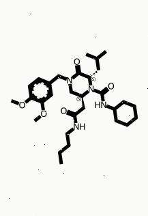 CCCCNC(=O)C[C@H]1CN(Cc2ccc(OC)c(OC)c2)C(=O)[C@H](CC(C)C)N1C(=O)NC1CCCCC1